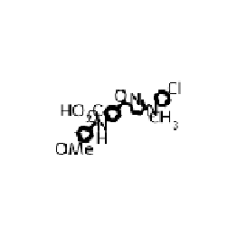 COc1cccc(C(=O)Nc2ccc(C(=O)c3ccc(N(C)c4ccc(Cl)cc4)cn3)cc2C(=O)O)c1